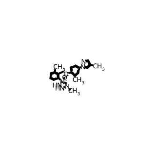 Cc1cnn(-c2ccc(OCc3c(C)cccc3[N+]3([O-])CN(C)NN3)c(C)c2)c1